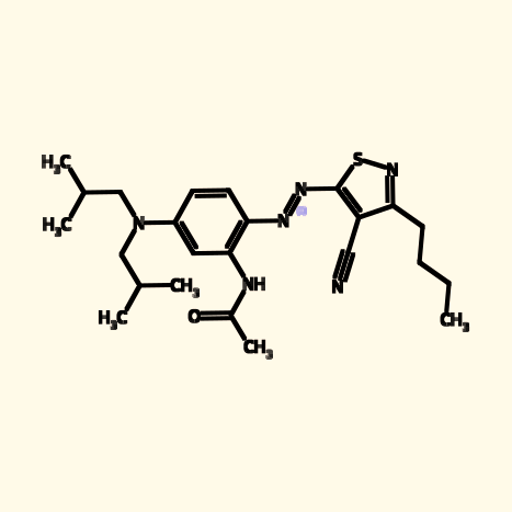 CCCCc1nsc(/N=N/c2ccc(N(CC(C)C)CC(C)C)cc2NC(C)=O)c1C#N